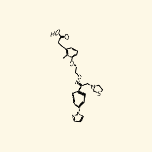 Cc1c(CC(=O)O)cccc1OCCON=C(CN1CCSC1)c1ccc(-n2cccn2)cc1